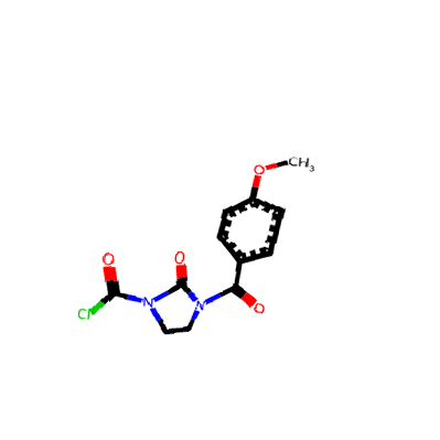 COc1ccc(C(=O)N2CCN(C(=O)Cl)C2=O)cc1